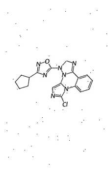 Clc1ncc2n1-c1ccccc1C1=NCN(c3nc(C4CCCC4)no3)N12